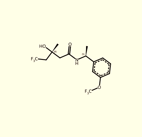 C[C@H](NC(=O)C[C@@](C)(O)CC(F)(F)F)c1cccc(OC(F)(F)F)c1